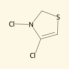 ClC1=CSCN1Cl